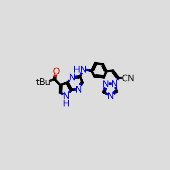 CC(C)(C)C(=O)c1c[nH]c2ncc(Nc3ccc(C=C(C#N)n4cncn4)cc3)nc12